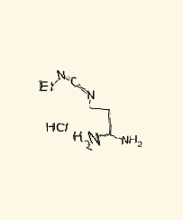 CCN=C=NCCC(N)N.Cl